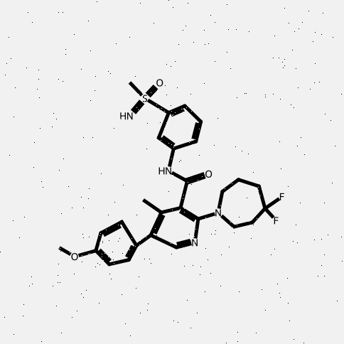 COc1ccc(-c2cnc(N3CCCC(F)(F)CC3)c(C(=O)Nc3cccc(S(C)(=N)=O)c3)c2C)cc1